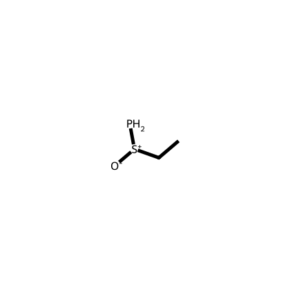 CC[S+]([O-])P